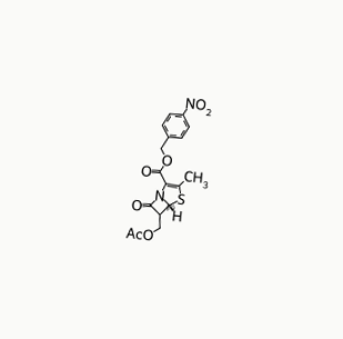 CC(=O)OCC1C(=O)N2C(C(=O)OCc3ccc([N+](=O)[O-])cc3)=C(C)S[C@H]12